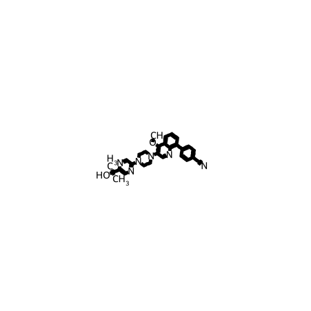 COc1c(N2CCN(c3cnc(C(C)(C)O)cn3)CC2)cnc2c(-c3ccc(C#N)cc3)cccc12